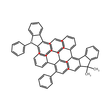 CC1(C)c2ccccc2-c2c(-c3ccccc3N(c3ccc4c(c3)c3ccccc3n4-c3ccccc3)c3cccc(-c4ccccc4)c3-c3ccccc3-c3ccccc3)cccc21